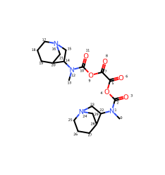 CN(C(=O)OC(=O)C(=O)OC(=O)N(C)C1CN2CCCC1C2)C1CN2CCCC1C2